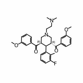 COc1cccc(C(=O)[C@H]2CN(CCN(C)C)C[C@H](C(=O)c3cccc(OC)c3)C2c2cccc(F)c2C)c1